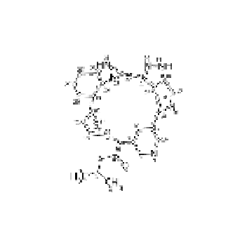 CC(C)CC(=O)n1c2cncc(c2)c2cc3c(cn2)[nH]nc3c2nc3c(cccc3c3ccc1s3)[nH]2